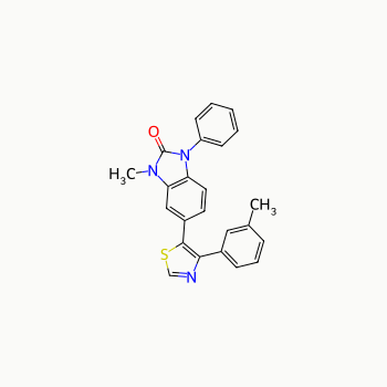 Cc1cccc(-c2ncsc2-c2ccc3c(c2)n(C)c(=O)n3-c2ccccc2)c1